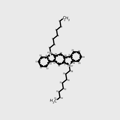 CCCCCCCCn1c2ccccc2c2cc3c(cc21)c1ccccc1n3CCCCCCCC